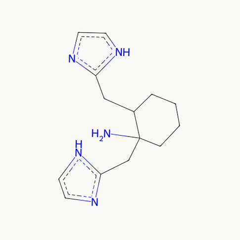 NC1(Cc2ncc[nH]2)CCCCC1Cc1ncc[nH]1